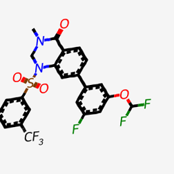 CN1CN(S(=O)(=O)c2cccc(C(F)(F)F)c2)c2cc(-c3cc(F)cc(OC(F)F)c3)ccc2C1=O